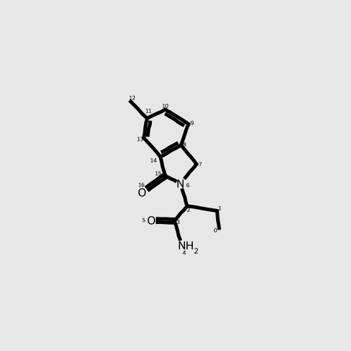 CCC(C(N)=O)N1Cc2ccc(C)cc2C1=O